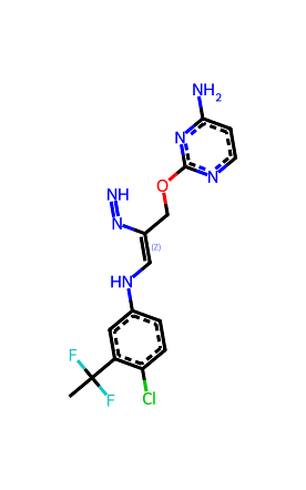 CC(F)(F)c1cc(N/C=C(/COc2nccc(N)n2)N=N)ccc1Cl